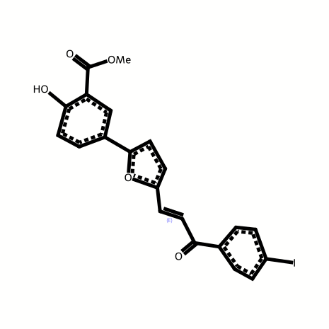 COC(=O)c1cc(-c2ccc(/C=C/C(=O)c3ccc(I)cc3)o2)ccc1O